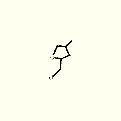 CC1COC(CCl)C1